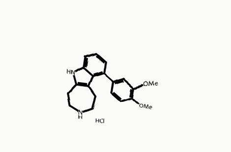 COc1ccc(-c2cccc3[nH]c4c(c23)CCNCC4)cc1OC.Cl